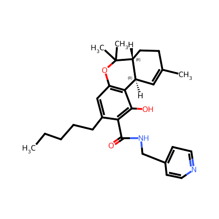 CCCCCc1cc2c(c(O)c1C(=O)NCc1ccncc1)[C@@H]1C=C(C)CC[C@H]1C(C)(C)O2